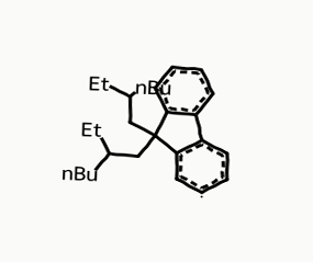 CCCCC(CC)CC1(CC(CC)CCCC)c2c[c]ccc2-c2ccccc21